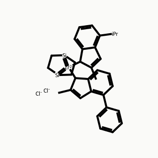 CC1=Cc2c(-c3ccccc3)cccc2[CH]1[Zr+2]1([CH]2C(C)=Cc3c(C(C)C)cccc32)=[Si]2CC[Si]=1CC2.[Cl-].[Cl-]